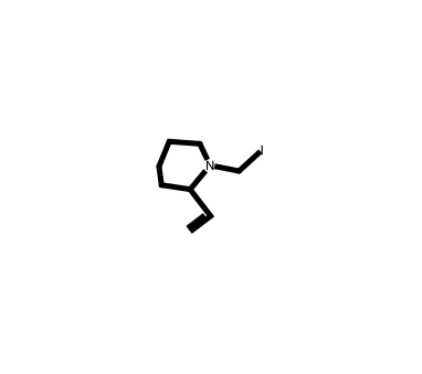 C=CC1CCCCN1CI